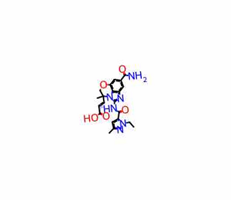 CCn1nc(C)cc1C(=O)Nc1nc2cc(C(N)=O)cc3c2n1C(C)(/C=C/C(=O)O)CO3